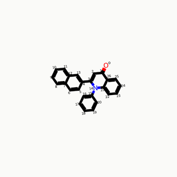 O=c1cc(-c2ccc3ccccc3c2)n(-c2ccccc2)c2ccccc12